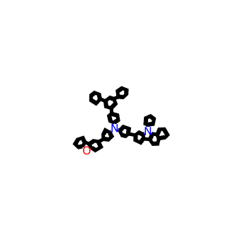 c1ccc(-c2cc(-c3ccccc3)cc(-c3ccc(N(c4ccc(-c5ccc6oc7ccccc7c6c5)cc4)c4ccc(-c5ccc6c7ccc8ccccc8c7n(-c7ccccc7)c6c5)cc4)cc3)c2)cc1